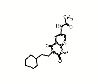 CC(=O)Nc1cnc2[nH]c(=O)n(CCC3CCCCC3)c(=O)c2c1